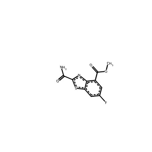 COC(=O)c1cc(F)cc2sc(C(N)=O)nc12